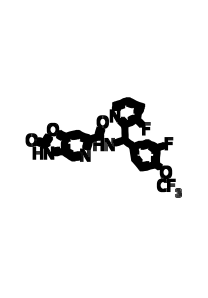 O=C(NC(c1ccc(OC(F)(F)F)c(F)c1)c1ncccc1F)c1cc2oc(=O)[nH]c2cn1